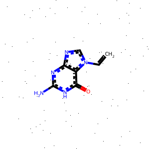 C=Cn1cnc2nc(N)[nH]c(=O)c21